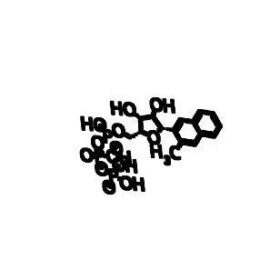 Cc1cc2ccccc2cc1[C@@H]1O[C@H](COP(=O)(O)OP(=O)(O)OP(=O)(O)O)[C@H](O)C1O